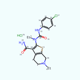 CCN1CCc2c(sc(N(CC)C(=O)Nc3ccc(Cl)cc3)c2C(N)=O)C1.Cl